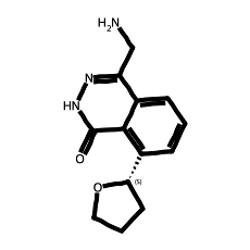 NCc1n[nH]c(=O)c2c([C@@H]3CCCO3)cccc12